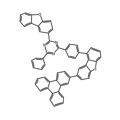 c1ccc(-c2nc(-c3ccc(-c4cccc5sc6ccc(-c7ccc8c9ccccc9c9ccccc9c8c7)cc6c45)cc3)nc(-c3ccc4oc5ccccc5c4c3)n2)cc1